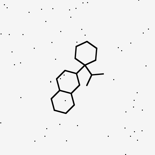 CC(C)C1(C2CCC3CCCCC3C2)CCCCC1